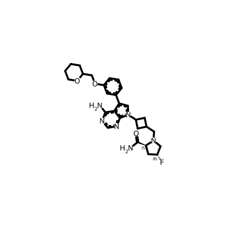 NC(=O)[C@@H]1C[C@@H](F)CN1CC1CC(n2cc(-c3cccc(OCC4CCCCO4)c3)c3c(N)ncnc32)C1